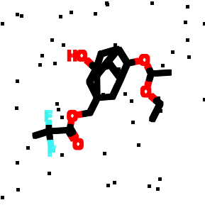 CCOC(C)OC1C2CC3(O)CC1CC(COC(=O)C(C)(F)F)(C2)C3